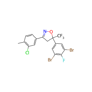 Cc1ccc(C2=NOC(c3cc(Br)c(F)c(Br)c3)(C(F)(F)F)C2)cc1Cl